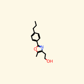 CCCc1ccc(-c2nc(CCO)c(C)o2)cc1